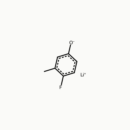 Cc1cc([O-])ccc1F.[Li+]